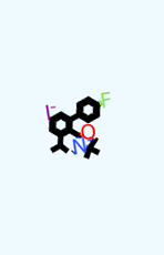 CC(C)c1cccc(-c2ccc(F)cc2)c1C1=[N+](C)C(C)(C)CO1.[I-]